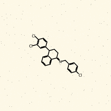 Clc1ccc(CN=C2CCC(c3ccc(Cl)c(Cl)c3)c3ccccc32)cc1